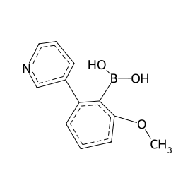 COc1cccc(-c2cccnc2)c1B(O)O